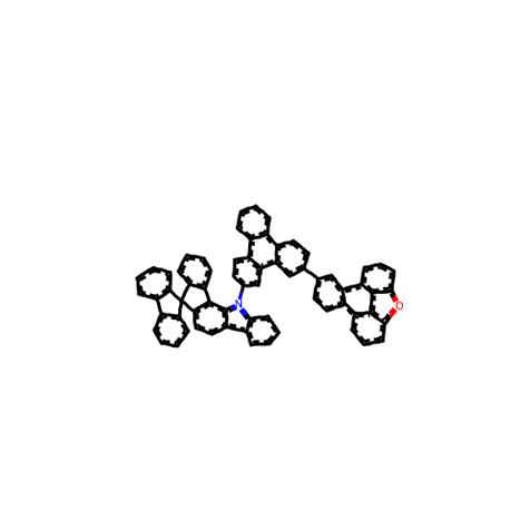 c1ccc2c(c1)-c1ccccc1C21c2ccccc2-c2c1ccc1c3ccccc3n(-c3ccc4c5ccccc5c5ccc(-c6ccc7c(c6)c6cccc8oc9cccc7c9c86)cc5c4c3)c21